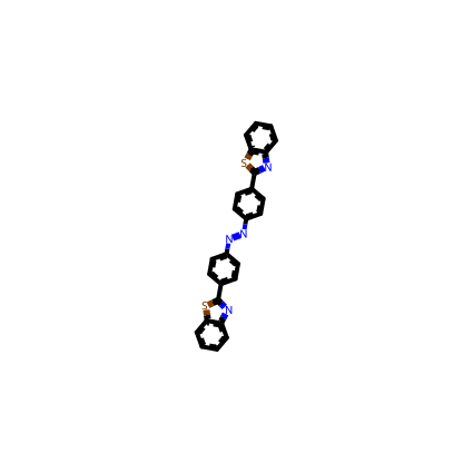 c1ccc2sc(-c3ccc(/N=N/c4ccc(-c5nc6ccccc6s5)cc4)cc3)nc2c1